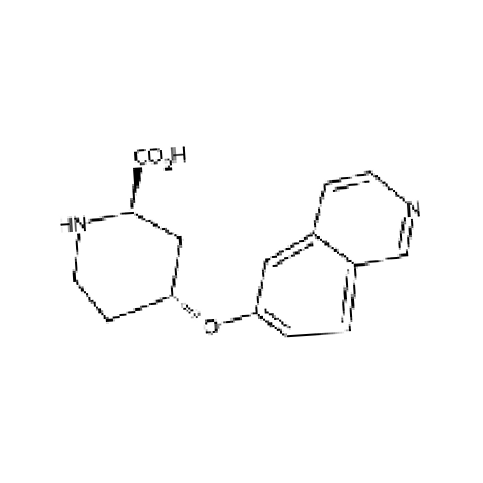 O=C(O)[C@H]1C[C@H](Oc2ccc3cnccc3c2)CCN1